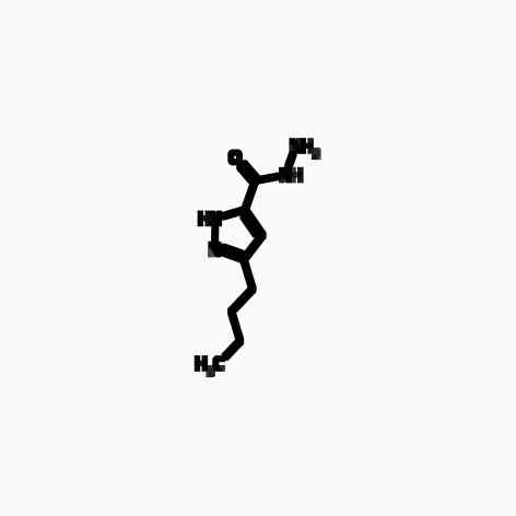 CCCCc1cc(C(=O)NN)[nH]n1